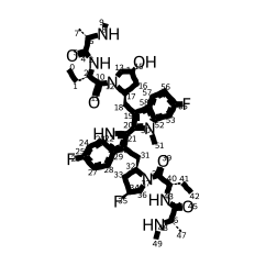 CC[C@H](NC(=O)[C@H](C)NC)C(=O)N1C[C@@H](O)C[C@H]1Cc1c(-c2[nH]c3cc(F)ccc3c2C[C@@H]2C[C@H](F)CN2C(=O)[C@H](CC)NC(=O)[C@H](C)NC)n(C)c2cc(F)ccc12